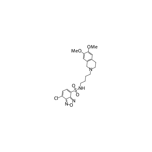 COc1cc2c(cc1OC)CN(CCCCNS(=O)(=O)c1ccc(Cl)c3nonc13)CC2